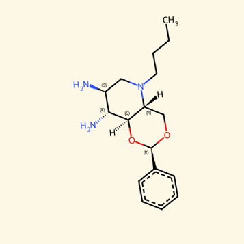 CCCCN1C[C@H](N)[C@@H](N)[C@@H]2O[C@H](c3ccccc3)OC[C@H]21